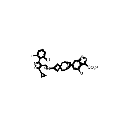 O=C(O)c1nsc2cc(N3C4CCC3CC3(CC(NCc5c(-c6c(Cl)cccc6Cl)noc5C5CC5)C3)C4)cc(Cl)c12